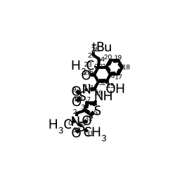 CN(Cc1csc2c1S(=O)(=O)N=C(C1=C(O)c3ccccc3[C@@](C)(CCC(C)(C)C)C1=O)N2)S(C)(=O)=O